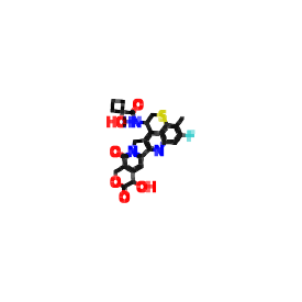 Cc1c(F)cc2nc3c(c4c2c1SCC4NC(=O)C1(O)CCC1)Cn1c-3cc2c(c1=O)COC(=O)C2O